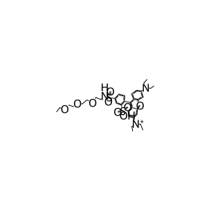 CCOCCOCCOCCNS(=O)(=O)c1ccc(-c2c3ccc(=[N+](CC)CC)cc-3oc3cc(N(CC)CC)ccc23)c(S(=O)(=O)O)c1